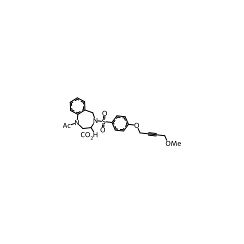 COCC#CCOc1ccc(S(=O)(=O)N2Cc3ccccc3N(C(C)=O)CC2C(=O)O)cc1